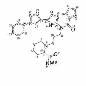 CNC(=O)[C@@H]1CCCCN1CCCN(C(=O)c1cccs1)c1nc(-c2cc(-c3ccccc3)no2)cs1